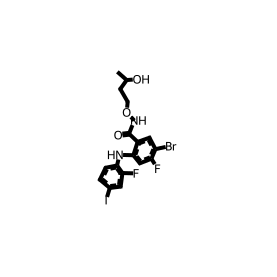 CC(O)CCONC(=O)c1cc(Br)c(F)cc1Nc1ccc(I)cc1F